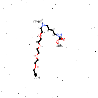 C#CCOCCOCCOCCOCCN(CCCCC)CCCCNC(=O)OC(C)(C)C